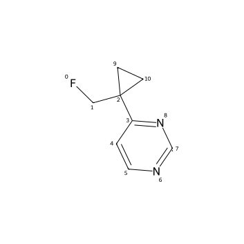 FCC1(c2ccn[c]n2)CC1